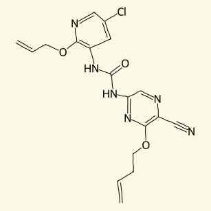 C=CCCOc1nc(NC(=O)Nc2cc(Cl)cnc2OCC=C)cnc1C#N